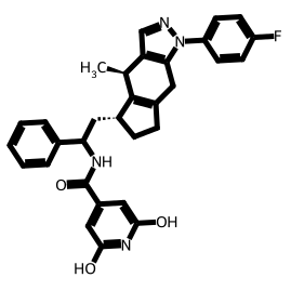 C[C@@H]1C2=C(CC[C@@H]2CC(NC(=O)c2cc(O)nc(O)c2)c2ccccc2)Cc2c1cnn2-c1ccc(F)cc1